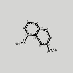 CCCCCCc1cccc2ccc(NC)cc12